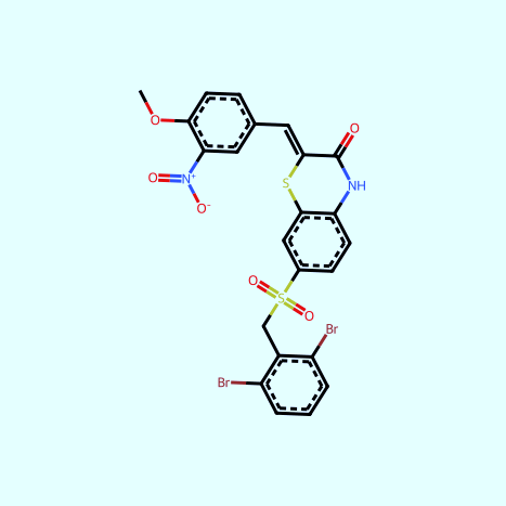 COc1ccc(/C=C2\Sc3cc(S(=O)(=O)Cc4c(Br)cccc4Br)ccc3NC2=O)cc1[N+](=O)[O-]